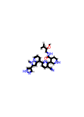 COC(CNC(=O)C1CCNCC1c1nc(C2=CC=CN3C2=CC(c2cn[nH]c2)N3C)ccc1C#N)C(C)C